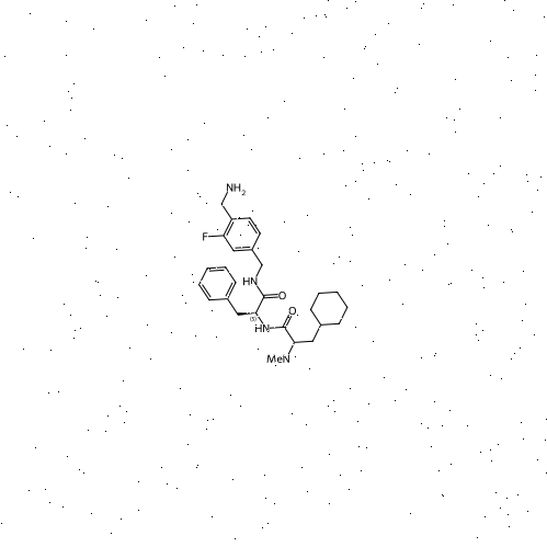 CNC(CC1CCCCC1)C(=O)N[C@@H](Cc1ccccc1)C(=O)NCc1ccc(CN)c(F)c1